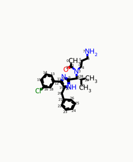 CC(=O)N(CCCN)[C@@H](c1nc(-c2cccc(Cl)c2)c(Cc2ccccc2)[nH]1)C(C)C